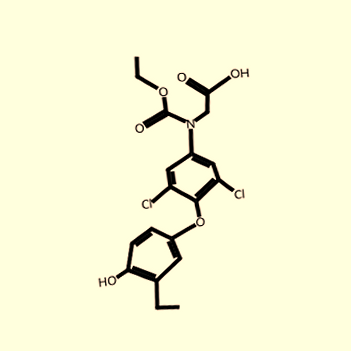 CCOC(=O)N(CC(=O)O)c1cc(Cl)c(Oc2ccc(O)c(CC)c2)c(Cl)c1